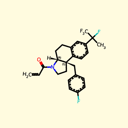 C=CC(=O)N1CC[C@@]2(Cc3ccc(F)cc3)c3ccc(C(C)(F)C(F)(F)F)cc3CC[C@@H]12